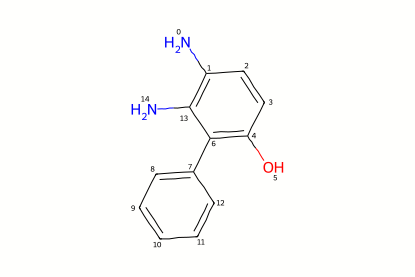 Nc1ccc(O)c(-c2ccccc2)c1N